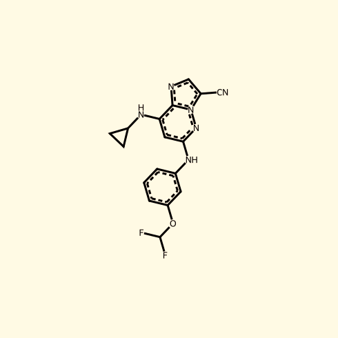 N#Cc1cnc2c(NC3CC3)cc(Nc3cccc(OC(F)F)c3)nn12